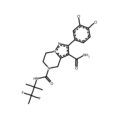 CC(F)(F)C(C)(C)NC(=O)N1CCn2nc(-c3ccc(Cl)c(Cl)c3)c(C(N)=O)c2C1